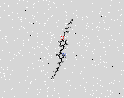 CCCCCCCCOc1ccc(CCc2ccc(CCCCCCCC)cn2)cc1